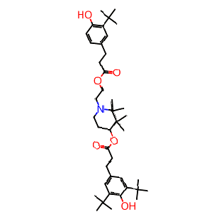 CC(C)(C)c1cc(CCC(=O)OCCN2CCC(OC(=O)CCc3cc(C(C)(C)C)c(O)c(C(C)(C)C)c3)C(C)(C)C2(C)C)ccc1O